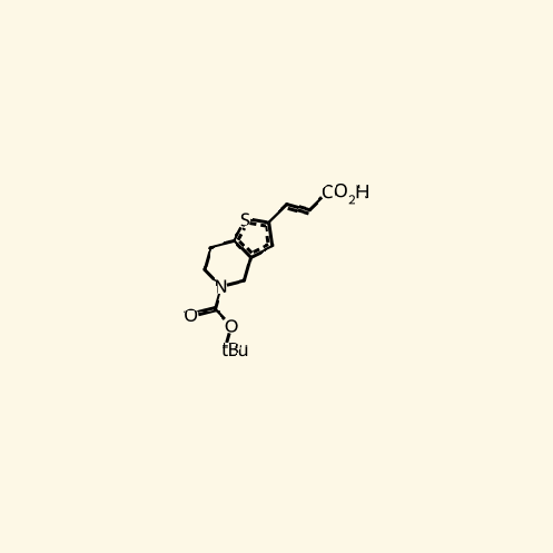 CC(C)(C)OC(=O)N1CCc2sc(C=CC(=O)O)cc2C1